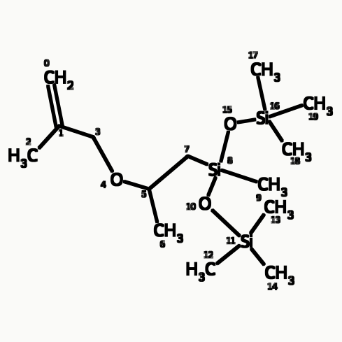 C=C(C)COC(C)C[Si](C)(O[Si](C)(C)C)O[Si](C)(C)C